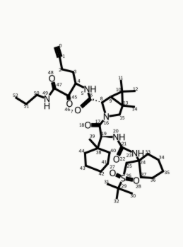 C#CCCC(NC(=O)[C@@H]1C2C(C)(C)C2(C)CN1C(=O)[C@@H](NC(=O)NC1(CS(=O)(=O)C(C)(C)C)CCCCC1)C1(C)CCCCC1)C(=O)C(=O)NCCC